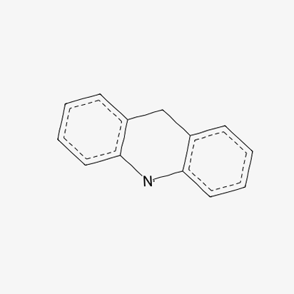 c1ccc2c(c1)Cc1ccccc1[N]2